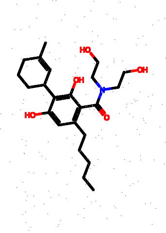 CCCCCc1cc(O)c(C2C=C(C)CCC2)c(O)c1C(=O)N(CCO)CCO